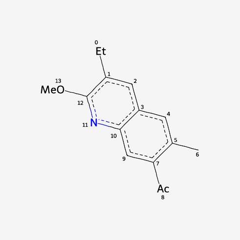 CCc1cc2cc(C)c(C(C)=O)cc2nc1OC